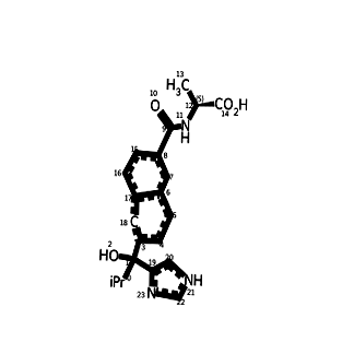 CC(C)C(O)(c1ccc2cc(C(=O)N[C@@H](C)C(=O)O)ccc2c1)c1c[nH]cn1